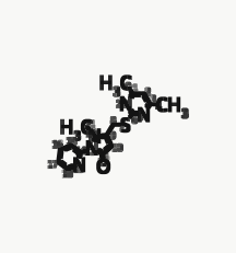 Cc1cc(C)nc(SCc2cc(=O)n(-c3ccccn3)n2C)n1